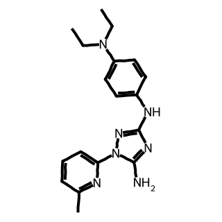 CCN(CC)c1ccc(Nc2nc(N)n(-c3cccc(C)n3)n2)cc1